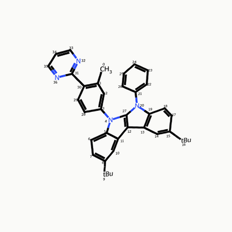 Cc1cc(-n2c3ccc(C(C)(C)C)cc3c3c4cc(C(C)(C)C)ccc4n(-c4ccccc4)c32)ccc1-c1ncccn1